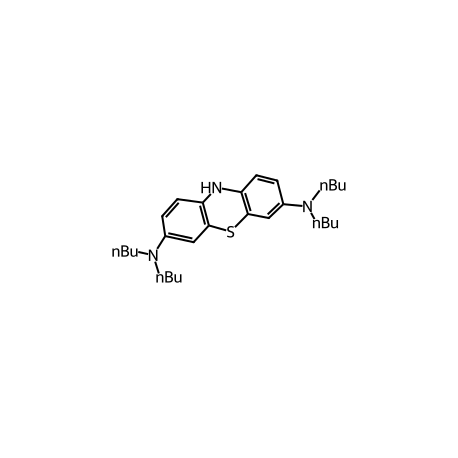 CCCCN(CCCC)c1ccc2c(c1)Sc1cc(N(CCCC)CCCC)ccc1N2